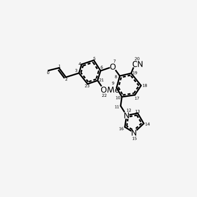 CC=Cc1ccc(Oc2cc(Cn3ccnc3)ccc2C#N)c(OC)c1